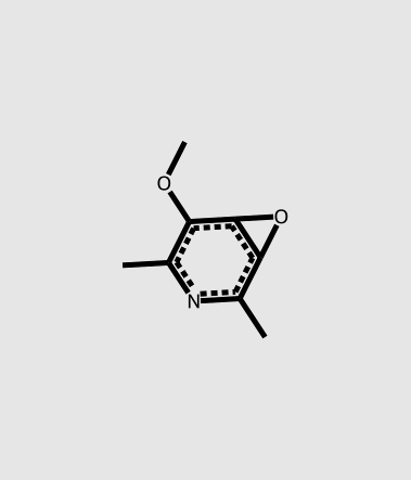 COc1c(C)nc(C)c2c1O2